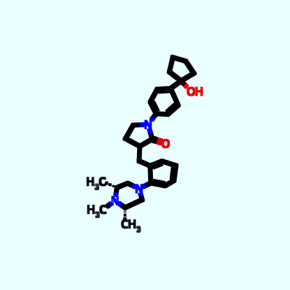 C[C@@H]1CN(c2ccccc2CC2CCN(c3ccc(C4(O)CCCC4)cc3)C2=O)C[C@H](C)N1C